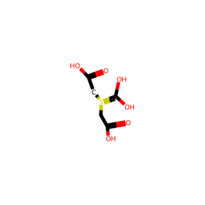 O=C(O)CS(CC(=O)O)=C(O)O